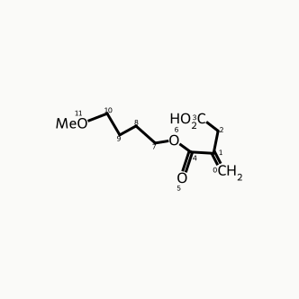 C=C(CC(=O)O)C(=O)OCCCCOC